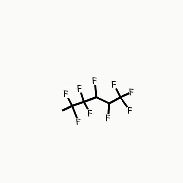 CC(F)(F)C(F)(F)C(F)C(F)C(F)(F)F